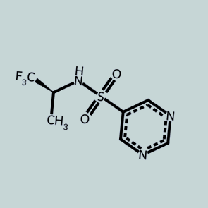 C[C@H](NS(=O)(=O)c1cncnc1)C(F)(F)F